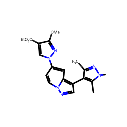 CCOC(=O)c1cn(-c2ccn3ncc(-c4c(C(F)(F)F)nn(C)c4C)c3c2)nc1OC